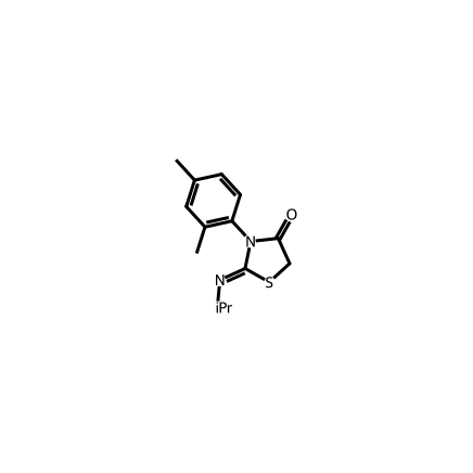 Cc1ccc(N2C(=O)CS/C2=N\C(C)C)c(C)c1